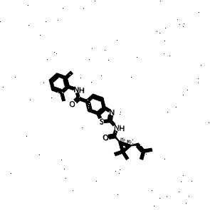 CC(C)=C[C@@H]1[C@H](C(=O)Nc2nc3ccc(C(=O)Nc4c(C)cccc4C)cc3s2)C1(C)C